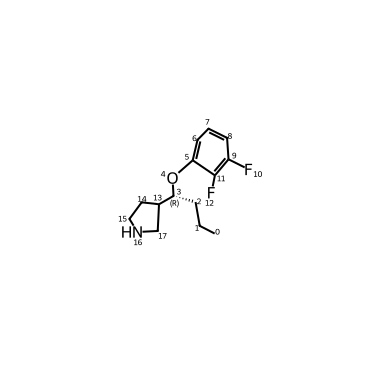 CCC[C@@H](Oc1cccc(F)c1F)C1CCNC1